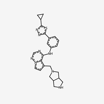 c1cc(Nc2ncnn3ccc(CN4CC5CNCC5C4)c23)cc(-c2nnc(C3CC3)s2)c1